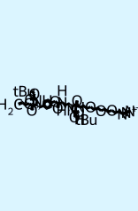 C=CCOC(=O)[C@H](Cc1ccc(OC(=O)NCC[C@H](NC(=O)OC(C)(C)C)C(=O)NCCOCCOCCOCCN=[N+]=[N-])cc1)NC(=O)OC(C)(C)C